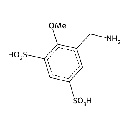 COc1c(CN)cc(S(=O)(=O)O)cc1S(=O)(=O)O